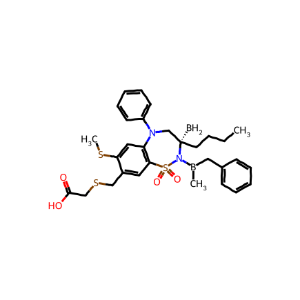 B[C@@]1(CCCC)CN(c2ccccc2)c2cc(SC)c(CSCC(=O)O)cc2S(=O)(=O)N1B(C)Cc1ccccc1